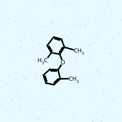 Cc1ccccc1Oc1c(C)cccc1C